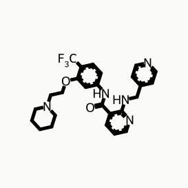 O=C(Nc1ccc(C(F)(F)F)c(OCCN2CCCCC2)c1)c1cccnc1NCc1ccncc1